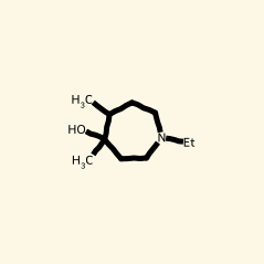 CCN1CCC(C)C(C)(O)CC1